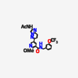 COc1ncc(-c2ccc3nc(NC(C)=O)cn3n2)cc1C(=O)NCc1cccc(OC(F)(F)F)c1